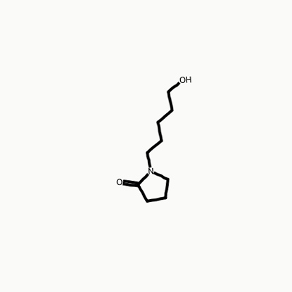 O=C1CCCN1CCCCCO